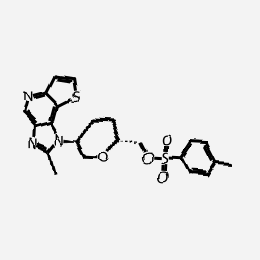 Cc1ccc(S(=O)(=O)OC[C@H]2CC[C@H](n3c(C)nc4cnc5ccsc5c43)CO2)cc1